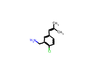 CC(C)=Cc1ccc(Cl)c(CN)c1